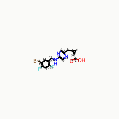 O=C(O)[C@H]1CC1Cc1cnc(NCc2cc(Br)c(F)cc2F)cn1